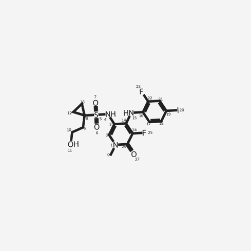 Cn1cc(NS(=O)(=O)C2(CCO)CC2)c(Nc2ccc(I)cc2F)c(F)c1=O